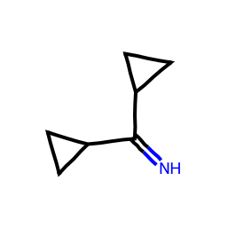 N=C(C1CC1)C1CC1